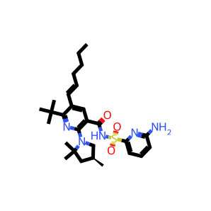 CCCC/C=C/c1cc(C(=O)NS(=O)(=O)c2cccc(N)n2)c(N2C[C@@H](C)CC2(C)C)nc1C(C)(C)C